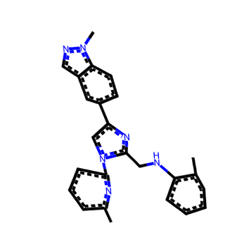 Cc1cccc(-n2cc(-c3ccc4c(cnn4C)c3)nc2CNc2ccccc2C)n1